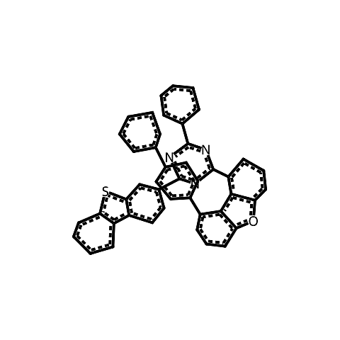 c1ccc(-c2ccc(-c3cccc4oc5cccc(-c6nc(-c7ccccc7)nc(-c7ccc8c(c7)sc7ccccc78)n6)c5c34)cc2)cc1